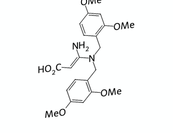 COc1ccc(CN(Cc2ccc(OC)cc2OC)C(N)=CC(=O)O)c(OC)c1